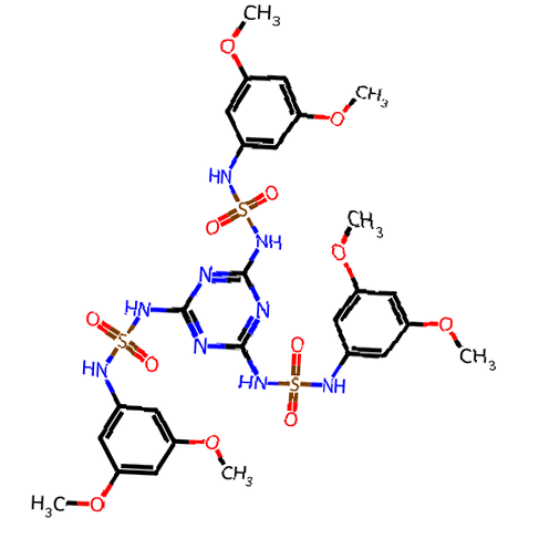 COc1cc(NS(=O)(=O)Nc2nc(NS(=O)(=O)Nc3cc(OC)cc(OC)c3)nc(NS(=O)(=O)Nc3cc(OC)cc(OC)c3)n2)cc(OC)c1